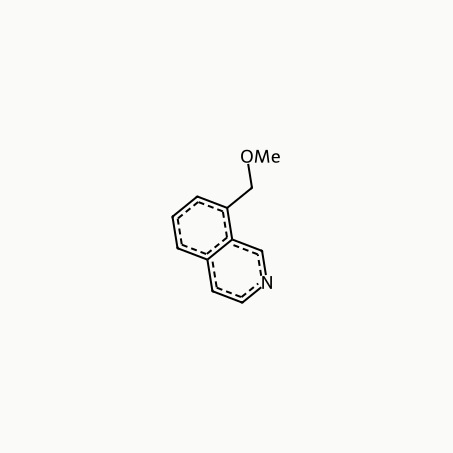 COCc1cccc2ccncc12